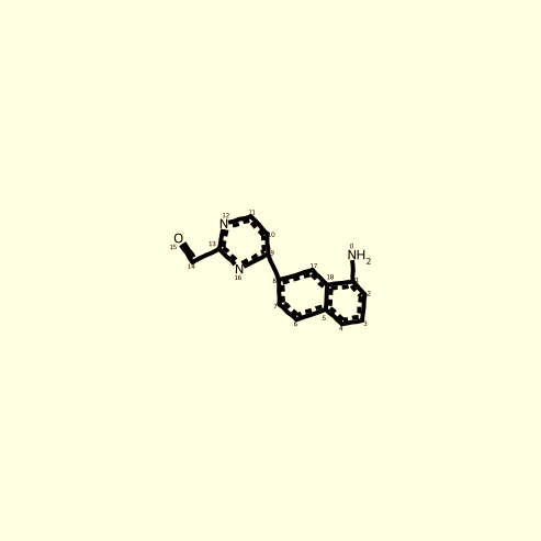 Nc1cccc2ccc(-c3ccnc(C=O)n3)cc12